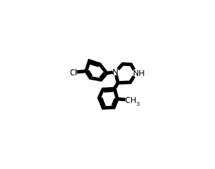 Cc1ccccc1C1CNCCN1c1ccc(Cl)cc1